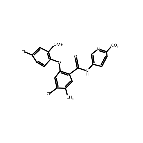 COc1cc(Cl)ccc1Oc1cc(Cl)c(C)cc1C(=O)Nc1ccc(C(=O)O)nc1